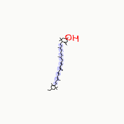 CCC1CC(C)=C(/C=C/C(C)=C/C=C/C(C)=C/C=C/C=C(C)/C=C/C=C(C)/C=C/C2=C(C)CC(O)CC2(C)C)C(C)(C)C1